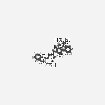 CCCC(=O)N(CCC(=O)N(CCS)Cc1ccccc1)Cc1ccc(-c2ccccc2)c(S(=O)(=O)N(O)C(=O)CC)c1F